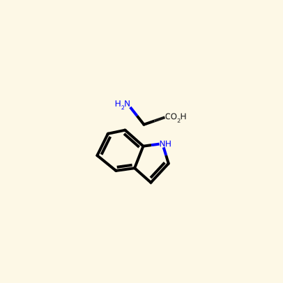 NCC(=O)O.c1ccc2[nH]ccc2c1